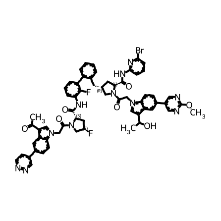 COc1ncc(-c2ccc3c(c2)c(C(C)O)cn3CC(=O)N2C[C@H](Cc3ccccc3-c3cccc(NC(=O)[C@@H]4C[C@@H](F)CN4C(=O)Cn4cc(C(C)=O)c5cc(-c6ccnnc6)ccc54)c3F)C[C@H]2C(=O)Nc2cccc(Br)n2)cn1